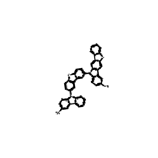 N#Cc1ccc2c(c1)c1ccccc1n2-c1ccc2oc3ccc(-n4c5ccc(C#N)cc5c5cc6sc7ccccc7c6cc54)cc3c2c1